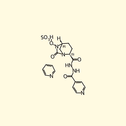 O=C(NNC(=O)[C@@H]1CC[C@@H]2CN1C(=O)N2OS(=O)(=O)O)c1ccncc1.c1ccncc1